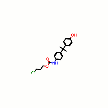 CC(C)(c1ccc(O)cc1)c1ccc(NC(=O)OCCCCl)cc1